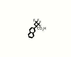 O=C(O)C1(c2ccc3ccccc3c2)CC(F)(F)C1(F)F